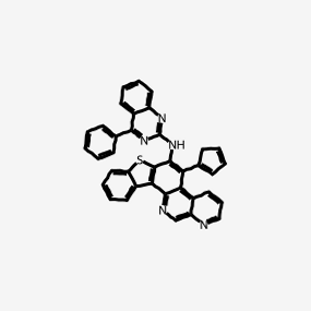 C1=CCC(c2c(Nc3nc(-c4ccccc4)c4ccccc4n3)c3sc4ccccc4c3c3ncc4ncccc4c23)=C1